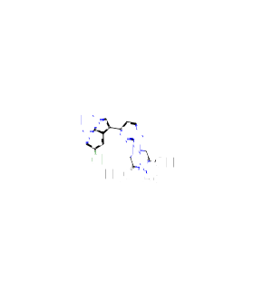 CC(=O)N1[C@H](C)CN(c2nccc(-c3c[nH]c4ncc(Cl)cc34)n2)C[C@@H]1C